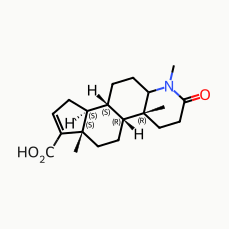 CN1C(=O)CC[C@@]2(C)C1CC[C@@H]1[C@H]2CC[C@]2(C)C(C(=O)O)=CC[C@@H]12